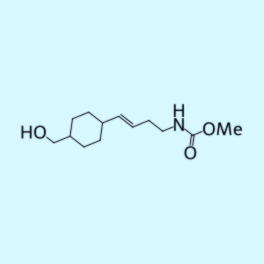 COC(=O)NCCC=CC1CCC(CO)CC1